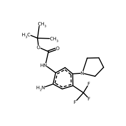 CC(C)(C)OC(=O)Nc1cc(N2CCCC2)c(C(F)(F)F)cc1N